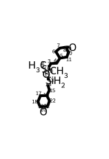 C[Si](C)(CCC1CCC2OC2C1)O[SiH2]CCC1CCC2OC2C1